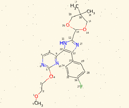 COCCOc1nccc(-c2[nH]c(C3OCC(C)(C)CO3)nc2-c2ccc(F)cc2)n1